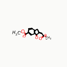 COC(=O)CC1Cc2ccc(C(=O)OC)cc2C1=O